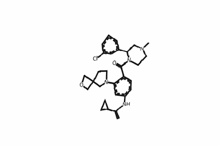 C=C(Nc1ccc(C(=O)N2CCN(C)CC2c2cccc(Cl)c2)c(N2CCC3(COC3)C2)c1)C1CC1